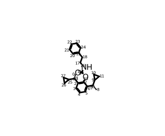 C[C@@H](c1cccc([C@H](C)C2CC2)c1OC(=O)NCCc1ccccc1)C1CC1